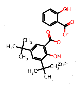 CC(C)(C)c1cc(C(=O)[O-])c(O)c(C(C)(C)C)c1.O=C([O-])c1ccccc1O.[Zn+2]